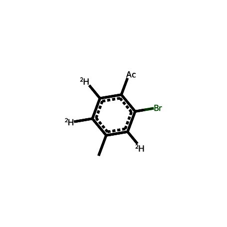 [2H]c1c([2H])c(C(C)=O)c(Br)c([2H])c1C